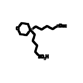 CCCCCCCCCCCCCC[N+]1(CCCCS(=O)(=O)O)CCOCC1